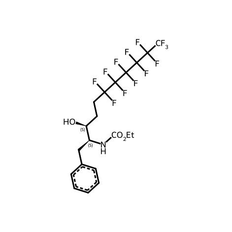 CCOC(=O)N[C@@H](Cc1ccccc1)[C@@H](O)CCC(F)(F)C(F)(F)C(F)(F)C(F)(F)C(F)(F)C(F)(F)F